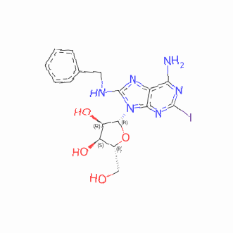 Nc1nc(I)nc2c1nc(NCc1ccccc1)n2[C@@H]1O[C@H](CO)[C@@H](O)[C@H]1O